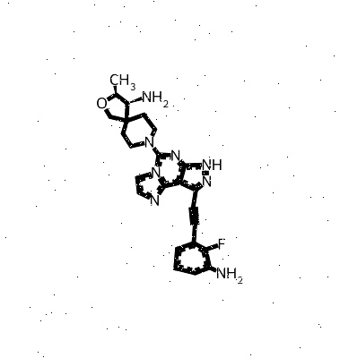 C[C@@H]1OCC2(CCN(c3nc4[nH]nc(C#Cc5cccc(N)c5F)c4c4nccn34)CC2)[C@@H]1N